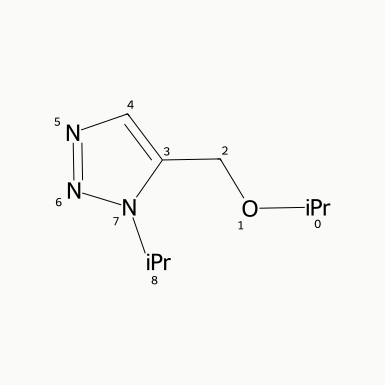 CC(C)OCc1cnnn1C(C)C